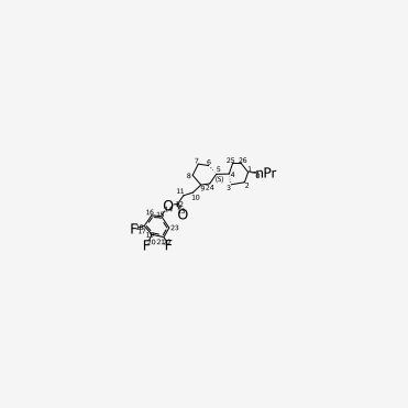 CCC[C@H]1CC[C@H]([C@H]2CCCC(CCC(=O)Oc3cc(F)c(F)c(F)c3)C2)CC1